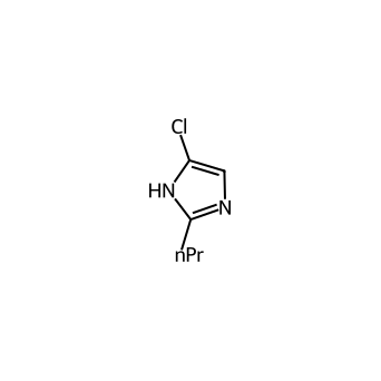 CCCc1ncc(Cl)[nH]1